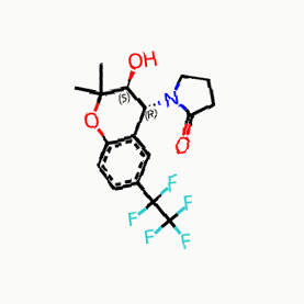 CC1(C)Oc2ccc(C(F)(F)C(F)(F)F)cc2[C@@H](N2CCCC2=O)[C@@H]1O